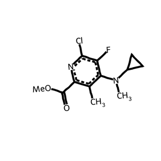 COC(=O)c1nc(Cl)c(F)c(N(C)C2CC2)c1C